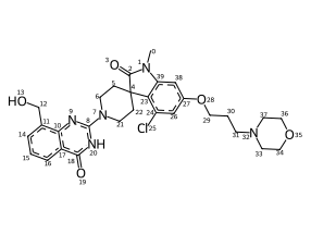 CN1C(=O)C2(CCN(c3nc4c(CO)cccc4c(=O)[nH]3)CC2)c2c(Cl)cc(OCCCN3CCOCC3)cc21